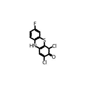 O=C1C(Cl)=CC2=C(Sc3cc(F)ccc3N2)C1Cl